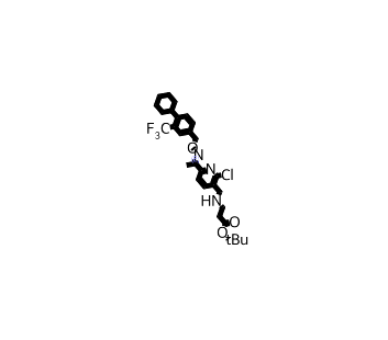 C/C(=N\OCc1ccc(C2CCCCC2)c(C(F)(F)F)c1)c1ccc(CNCCC(=O)OC(C)(C)C)c(Cl)n1